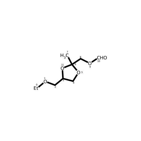 CCOCC1COC(C)(COC=O)O1